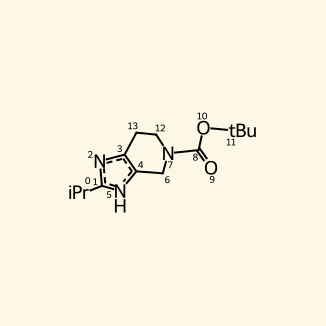 CC(C)c1nc2c([nH]1)CN(C(=O)OC(C)(C)C)CC2